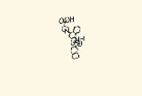 O=C(O)[C@@H]1CCN(c2ccc(NS(=O)(=O)c3ccc4c(c3)CCCC4)c3ccccc23)C1